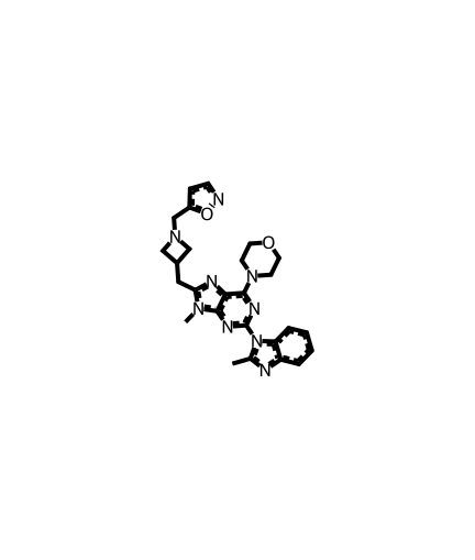 Cc1nc2ccccc2n1-c1nc(N2CCOCC2)c2nc(CC3CN(Cc4ccno4)C3)n(C)c2n1